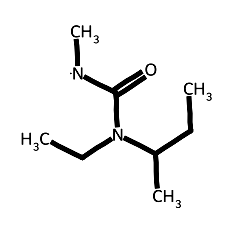 CCC(C)N(CC)C(=O)[N]C